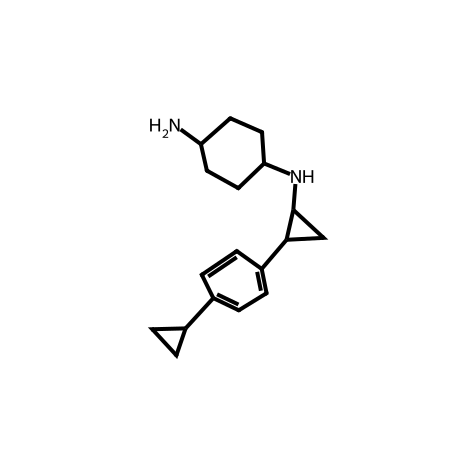 NC1CCC(NC2CC2c2ccc(C3CC3)cc2)CC1